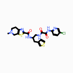 CN1CCc2nc(C(=O)NC(CNC(=O)C(=O)Nc3ccc(Cl)cn3)Cc3ccsc3)sc2C1